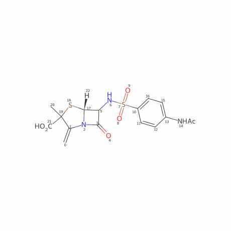 C=C1N2C(=O)C(NS(=O)(=O)c3ccc(NC(C)=O)cc3)[C@H]2SC1(C)C(=O)O